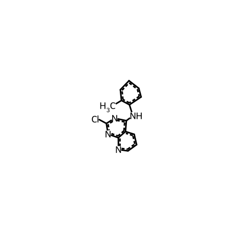 Cc1ccccc1Nc1nc(Cl)nc2ncccc12